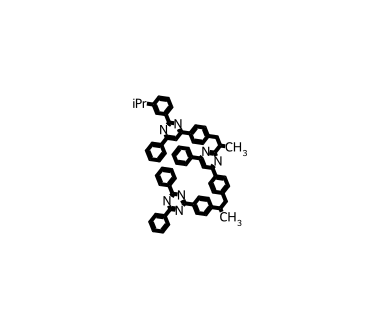 CC(C)c1cccc(-c2nc(-c3ccccc3)cc(-c3ccc(CC(C)c4nc(-c5ccccc5)cc(-c5ccc(CC(C)c6ccc(-c7nc(-c8ccccc8)nc(-c8ccccc8)n7)cc6)cc5)n4)cc3)n2)c1